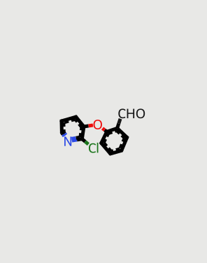 O=Cc1ccccc1Oc1cccnc1Cl